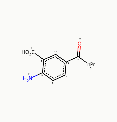 CCCC(=O)c1ccc(N)c(C(=O)O)c1